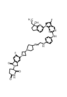 CC[C@@]1(O)CCc2ccc(-n3cc(F)c4cnc(Nc5ccc(NCCNC6CCN(C7CN(c8cc9c(cc8F)C(=O)N(C8CCC(=O)NC8=O)C9)C7)CC6)cc5)nc43)nc21